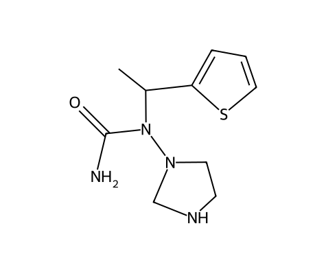 CC(c1cccs1)N(C(N)=O)N1CCNC1